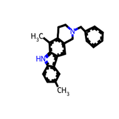 Cc1ccc2[nH]c3c(C)c4c(cc3c2c1)CN(Cc1ccccc1)CC4